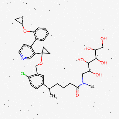 CCN(CC(O)C(O)C(O)C(O)CO)C(=O)CCCC(C)c1ccc(Cl)c(COC2(c3cnccc3-c3ccccc3OC3CC3)CC2)c1